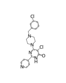 O=c1[nH]c(-c2ccncc2)nc(N2CCN(Cc3cccc(Cl)c3)CC2)c1Cl